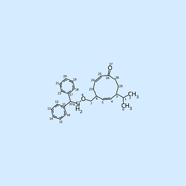 CC(C)C1C=CC(CO[SiH2]C(c2ccccc2)c2ccccc2)CC=CC(=O)CC1